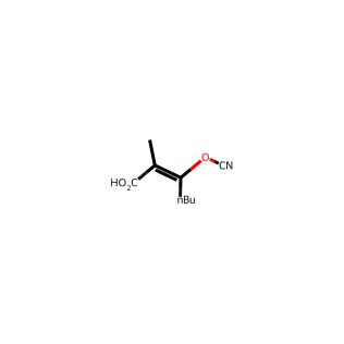 CCCC/C(OC#N)=C(/C)C(=O)O